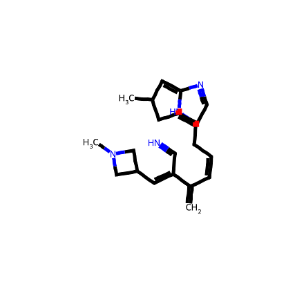 C=C(/C=C\CCNC1=C\C(C)C/C=C/C=N\1)/C(C=N)=C/C1CN(C)C1